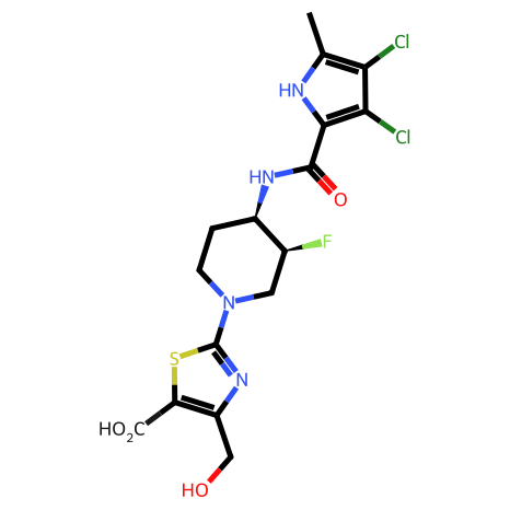 Cc1[nH]c(C(=O)N[C@@H]2CCN(c3nc(CO)c(C(=O)O)s3)C[C@@H]2F)c(Cl)c1Cl